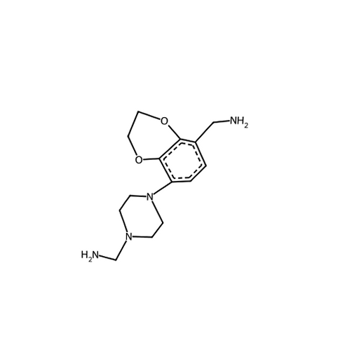 NCc1ccc(N2CCN(CN)CC2)c2c1OCCO2